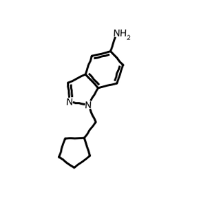 Nc1ccc2c(cnn2CC2CCCC2)c1